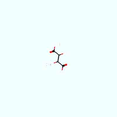 O=C(O)C(O)C(O)C(=O)O.[Cu]